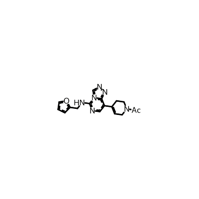 CC(=O)N1CC=C(c2cnc(NCc3ccco3)n3cnnc23)CC1